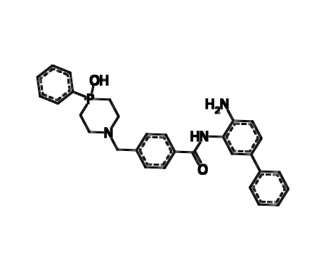 Nc1ccc(-c2ccccc2)cc1NC(=O)c1ccc(CN2CC[P](O)(c3ccccc3)CC2)cc1